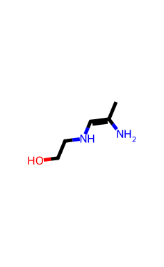 CC(N)=CNCCO